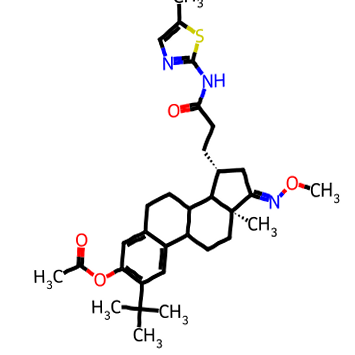 CO/N=C1\C[C@@H](CCC(=O)Nc2ncc(C)s2)C2C3CCc4cc(OC(C)=O)c(C(C)(C)C)cc4C3CC[C@]12C